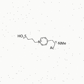 CN[C@@H](Cc1cc[n+](CCCS(=O)(=O)O)cc1)C(C)=O